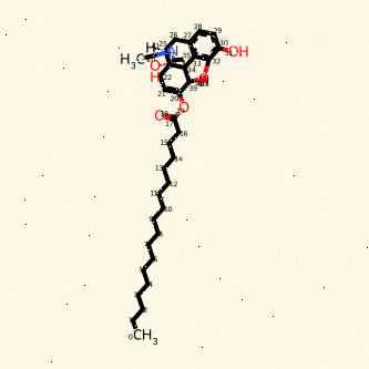 CCCCCCCCCCCCCCCCCC(=O)OC1=CC[C@@]2(O)[C@H]3Cc4ccc(O)c5c4[C@@]2(CCN3C)[C@H]1O5